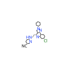 N#Cc1ccc(NCCc2nc3cc(Cl)ccc3c3nn(-c4ccccc4)cc23)nc1